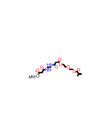 C=C(C)C(=O)OCCOCCOC(=O)CC(=O)NCCNC(=O)CC(=O)OC